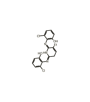 CCC1=CCC(=Nc2c(O)cccc2Cl)NC1=Nc1c(O)cccc1Cl